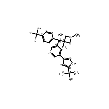 CN1CC(C)([C@](O)(c2ccc(C(F)(F)F)cc2)c2cncc(-c3noc(C(C)(C)O)n3)c2)C1